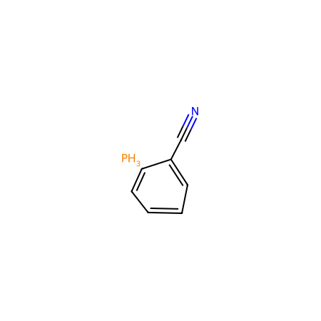 N#Cc1ccccc1.P